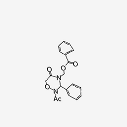 CC(=O)N1OCC(=O)N(COC(=O)c2ccccc2)C1c1ccccc1